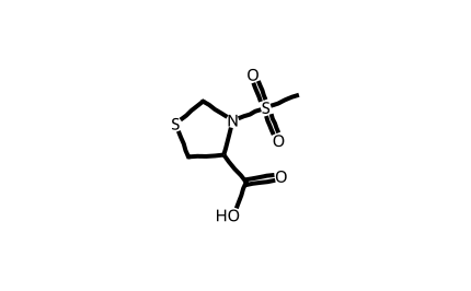 CS(=O)(=O)N1CSCC1C(=O)O